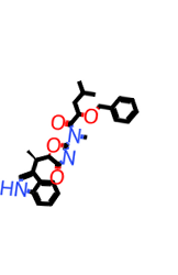 CC(C)CC(OCc1ccccc1)C(=O)N(C)C1=NC(=O)[C@H]([C@H](C)c2c[nH]c3ccccc23)O1